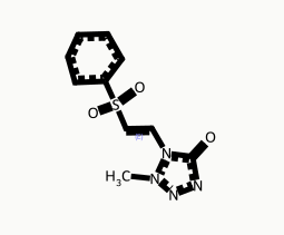 Cn1nnc(=O)n1/C=C/S(=O)(=O)c1ccccc1